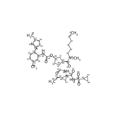 C=CCCCCN(C)C(=O)[C@@H]1C[C@H](OC(=O)Nc2cc(C(F)(F)F)ccc2-n2ccc(C)n2)C[C@H]1C(=O)N[C@]1(C(=O)NS(=O)(=O)C2CC2)C[C@H]1C=C